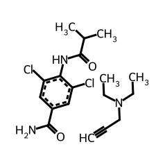 C#CCN(CC)CC.CC(C)C(=O)Nc1c(Cl)cc(C(N)=O)cc1Cl